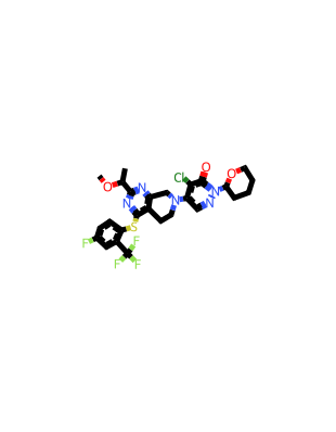 COC(C)c1nc2c(c(Sc3ccc(F)cc3C(F)(F)F)n1)CCN(c1cnn(C3CCCCO3)c(=O)c1Cl)C2